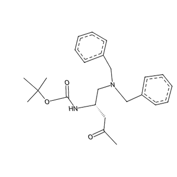 CC(=O)C[C@@H](CN(Cc1ccccc1)Cc1ccccc1)NC(=O)OC(C)(C)C